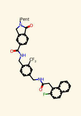 CCCC(C)N1Cc2cc(C(=O)NCc3ccc(CNC(=O)Cc4c(F)ccc5ccccc45)cc3C(F)(F)F)ccc2C1=O